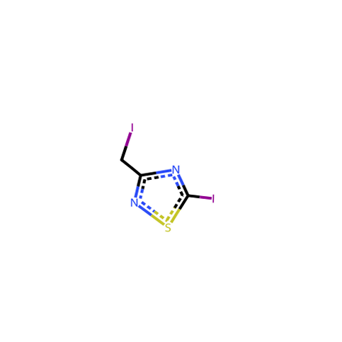 ICc1nsc(I)n1